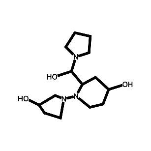 OC1CCN(N2CCC(O)C2)C(C(O)N2CCCC2)C1